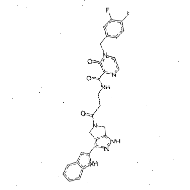 O=C(NCCC(=O)N1Cc2[nH]nc(-c3cc4ccccc4[nH]3)c2C1)c1nccn(Cc2ccc(F)c(F)c2)c1=O